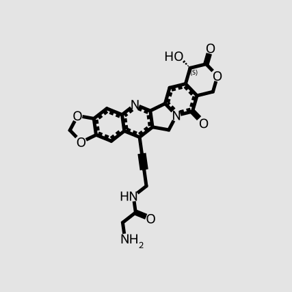 NCC(=O)NCC#Cc1c2c(nc3cc4c(cc13)OCO4)-c1cc3c(c(=O)n1C2)COC(=O)[C@H]3O